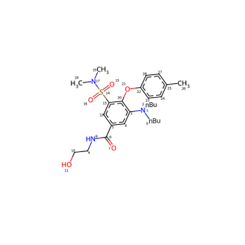 CCCCN(CCCC)c1cc(C(=O)NCCO)cc(S(=O)(=O)N(C)C)c1Oc1ccc(C)cc1